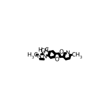 Cc1ccc2c(n1)oc1c3cc(C)c(N4C=CN(C)[C@@H]4C)cc3oc21